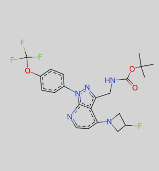 CC(C)(C)OC(=O)NCc1nn(-c2ccc(OC(F)(F)F)cc2)c2nccc(N3CC(F)C3)c12